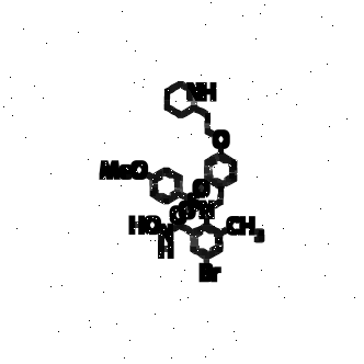 COc1ccc(S(=O)(=O)N(Cc2ccc(OCCC3CCCCN3)cc2)c2c(C)cc(Br)cc2C(=O)NO)cc1